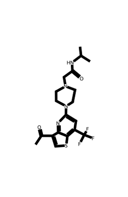 CC(=O)c1csc2c(C(F)(F)F)cc(N3CCN(CC(=O)NC(C)C)CC3)nc12